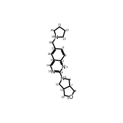 c1cc2nc(N3CC4COCC4C3)ncc2cc1CN1CCCC1